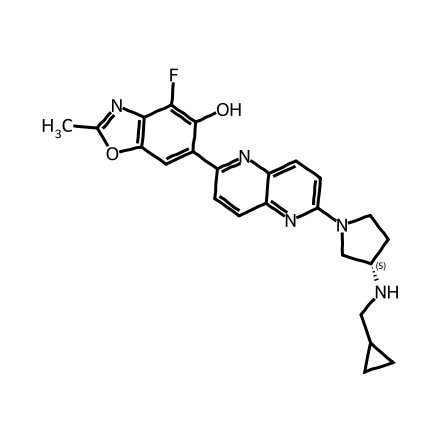 Cc1nc2c(F)c(O)c(-c3ccc4nc(N5CC[C@H](NCC6CC6)C5)ccc4n3)cc2o1